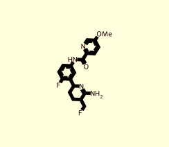 COc1ccc(C(=O)Nc2ccc(F)c(C3CCC(CF)C(N)=N3)c2)nc1